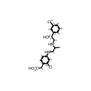 CC(CNc1ccc(CC(=O)O)c(Cl)c1)NC[C@H](O)c1cccc(Cl)c1